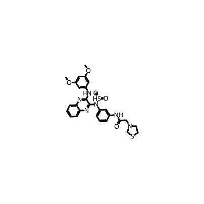 COc1cc(Nc2nc3ccccc3nc2N(c2cccc(NC(=O)CN3CCSC3)c2)[SH](=O)=O)cc(OC)c1